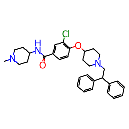 CN1CCC(NC(=O)c2ccc(OC3CCN(CC(c4ccccc4)c4ccccc4)CC3)c(Cl)c2)CC1